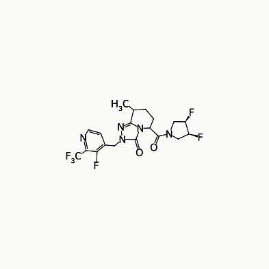 CC1CCC(C(=O)N2C[C@@H](F)[C@@H](F)C2)n2c1nn(Cc1ccnc(C(F)(F)F)c1F)c2=O